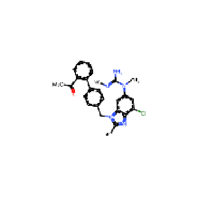 CCCc1nc2c(Cl)cc(N(C)C(N)=NC#N)cc2n1Cc1ccc(-c2ccccc2C(=O)OC)cc1